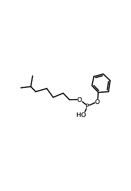 CC(C)CCCCCOP(O)Oc1ccccc1